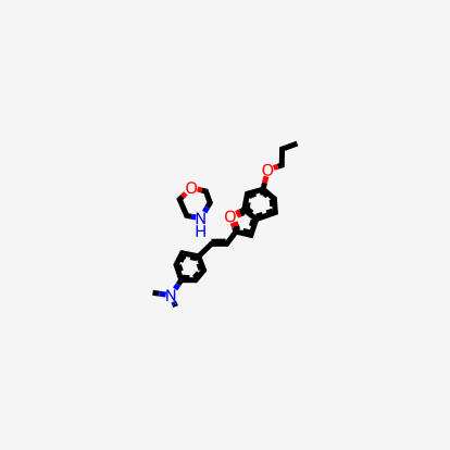 C1COCCN1.CCCOc1ccc2cc(C=Cc3ccc(N(C)C)cc3)oc2c1